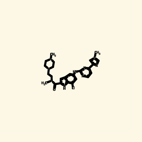 CN1CCN(CCN(C)C(=O)c2cc3cc(Nc4nccc(-c5cn(C)cn5)n4)cc(Cl)c3[nH]2)CC1